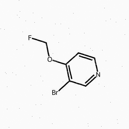 FCOc1ccncc1Br